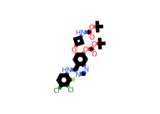 CC(C)(C)OC(=O)NC1CC(Oc2cc3c(Nc4ccc(Cl)c(Cl)c4F)ncnc3cc2OC(=O)OC(C)(C)C)C1